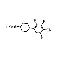 CCCCCC1CCC(c2cc(F)c(C#N)c(F)c2F)CC1